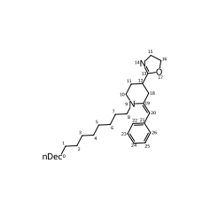 CCCCCCCCCCCCCCCCCCN1CCC(C2=NCCO2)CC1=Cc1ccccc1